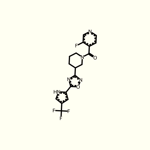 O=C(c1ccncc1F)N1CCCC(c2noc(-c3cc(C(F)(F)F)c[nH]3)n2)C1